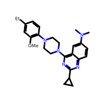 CCc1ccc(N2CCN(c3nc(C4CC4)nc4ccc(N(C)C)cc34)CC2)c(OC)c1